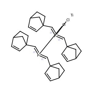 Cl/P(=C\C12C=CC(CC1)C2)=C\C12C=CC(CC1)C2.Cl/P(=C\C12C=CC(CC1)C2)=C\C12C=CC(CC1)C2.[Ti]